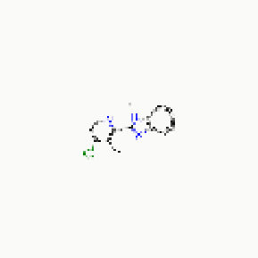 Cc1c(Cl)ccnc1-c1nc2ccccc2n1C